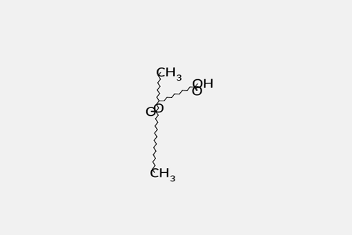 CCCCCCCCCCCCCCCCCC(=O)OCC(CCCCCCCC)CCCCCCCCC(=O)O